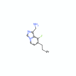 CC(C)CCc1ccn2cnc(CN)c2c1F